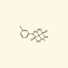 CC(O)(P(=O)(O)O)P(=O)(O)Oc1cccc(I)c1